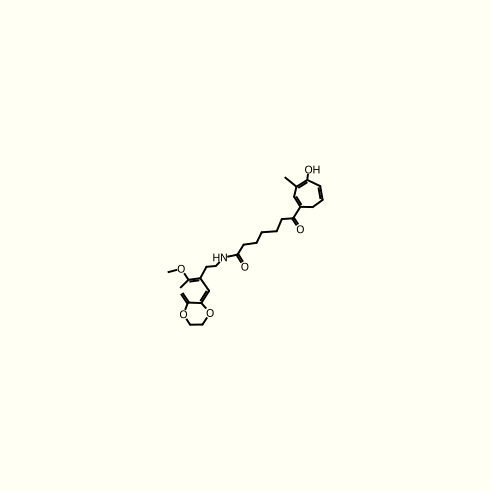 C=C1OCCO/C1=C/C(CCNC(=O)CCCCCC(=O)C1=CC(C)=C(O)C=CC1)=C(\C)OC